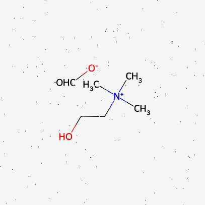 C[N+](C)(C)CCO.O=[C][O-]